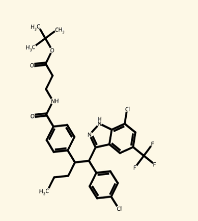 CCCC(c1ccc(C(=O)NCCC(=O)OC(C)(C)C)cc1)C(c1ccc(Cl)cc1)c1n[nH]c2c(Cl)cc(C(F)(F)F)cc12